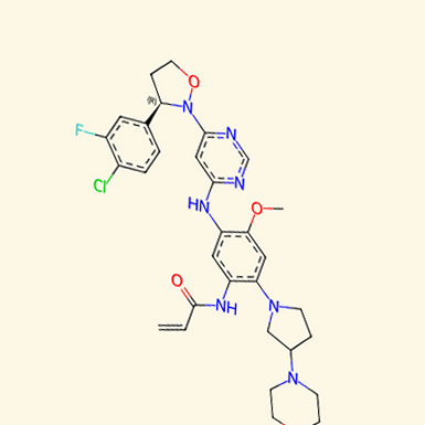 C=CC(=O)Nc1cc(Nc2cc(N3OCC[C@@H]3c3ccc(Cl)c(F)c3)ncn2)c(OC)cc1N1CCC(N2CCOCC2)C1